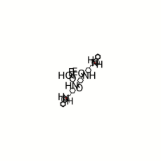 O=C(N[C@H]1CC[C@H](CCN2[C@@H]3CC[C@H]2c2ccccc23)CC1)C1CCC(C(=O)N[C@H]2CC[C@H](CCN3[C@@H]4CC[C@H]3c3ccccc34)CC2)CC1.O=C(O)C(F)(F)F